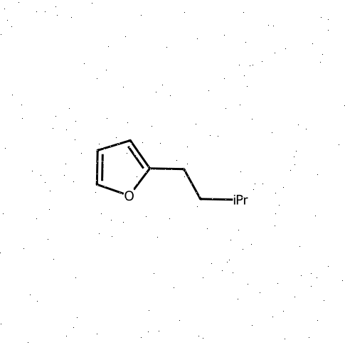 CC(C)CCc1ccco1